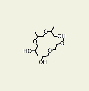 CC(O)COC(C)COC(C)CO.COCCOCCO